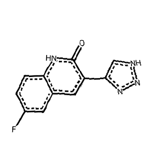 O=c1[nH]c2ccc(F)cc2cc1-c1c[nH]nn1